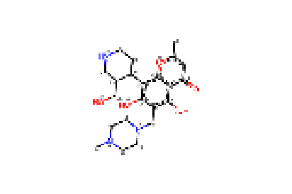 Cc1cc(=O)c2c(O)c(CN3CCN(C)CC3)c(O)c(C3CCNCC3CO)c2o1